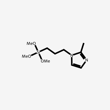 CO[Si](CCCn1ccnc1C)(OC)OC